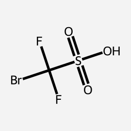 O=S(=O)(O)C(F)(F)Br